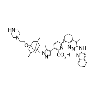 Cc1c(Nc2nc3ccccc3s2)nnc2c1CCCN2c1ccc(-c2cnn(CC34CC5(OCCN6CCNCC6)C[C@](C)(C3)C[C@](C)(C4)C5)c2C)c(C(=O)O)n1